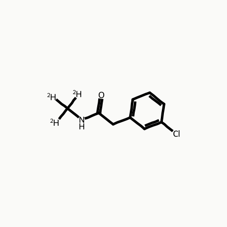 [2H]C([2H])([2H])NC(=O)Cc1cccc(Cl)c1